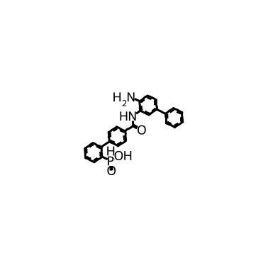 Nc1ccc(-c2ccccc2)cc1NC(=O)c1ccc(-c2ccccc2[PH](=O)O)cc1